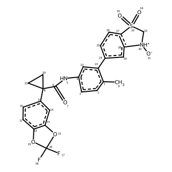 Cc1ccc(NC(=O)C2(c3ccc4c(c3)OC(F)(F)O4)CC2)cc1-c1ccc2c(c1)[NH+]([O-])CS2(=O)=O